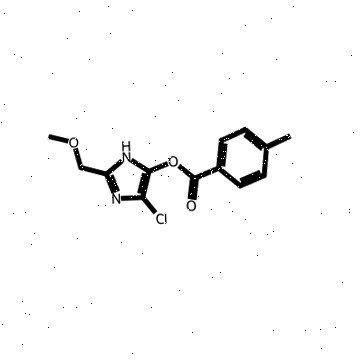 COCc1nc(Cl)c(OC(=O)c2ccc(C)cc2)[nH]1